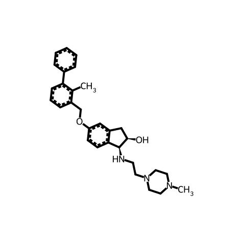 Cc1c(COc2ccc3c(c2)C[C@@H](O)[C@H]3NCCN2CCN(C)CC2)cccc1-c1ccccc1